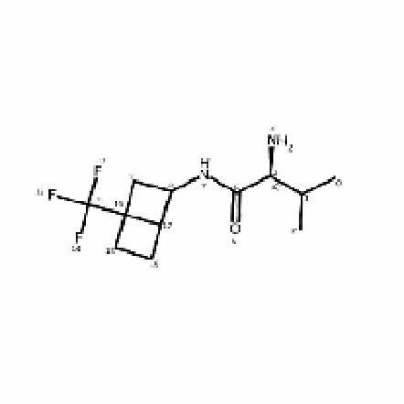 CC(C)[C@H](N)C(=O)NC1CC2(C(F)(F)F)CCC12